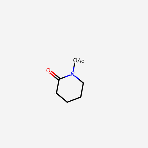 CC(=O)ON1CCC[CH]C1=O